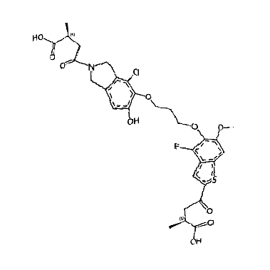 COc1cc2sc(C(=O)C[C@H](C)C(=O)O)cc2c(F)c1OCCCOc1c(O)cc2c(c1Cl)CN(C(=O)C[C@H](C)C(=O)O)C2